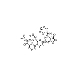 O=C(c1cccc(C2CCN(c3nc4c(c(NC5CCOCC5)n3)[S@@+]([O-])CC4)CC2)c1)N(C1CCOCC1)C1CC1